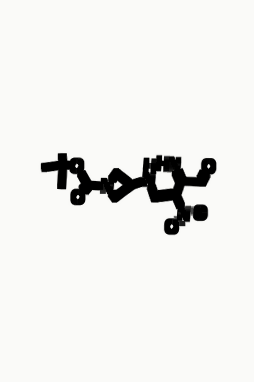 CC(C)(C)OC(=O)N1CC(N/C=C(\C(=N)C=O)[N+](=O)[O-])C1